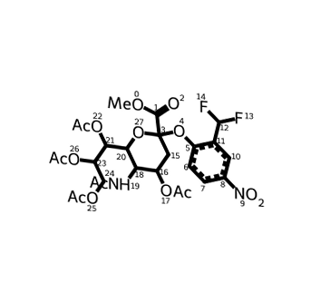 COC(=O)C1(Oc2ccc([N+](=O)[O-])cc2C(F)F)CC(OC(C)=O)C(NC(C)=O)C(C(OC(C)=O)C(COC(C)=O)OC(C)=O)O1